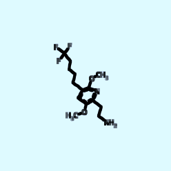 COc1cc(CCCCC(F)(F)F)c(OC)nc1CCN